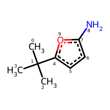 CC(C)(C)c1ccc(N)o1